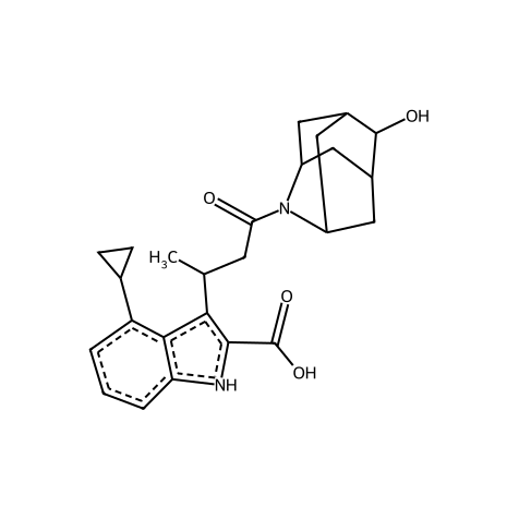 CC(CC(=O)N1C2CC3CC1CC(C2)C3O)c1c(C(=O)O)[nH]c2cccc(C3CC3)c12